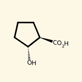 O=C(O)[C@@H]1CCC[C@H]1O